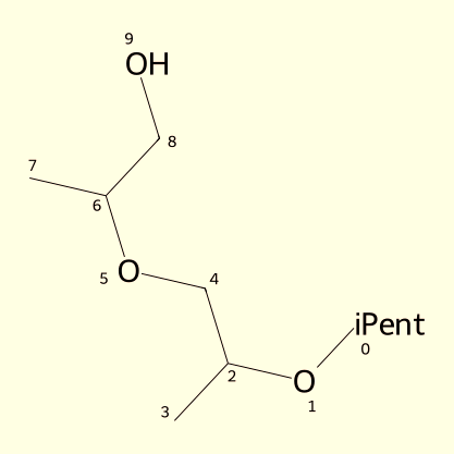 CCCC(C)OC(C)COC(C)CO